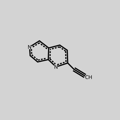 C#Cc1ccc2cnccc2n1